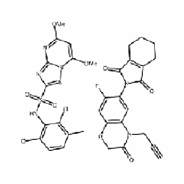 C#CCN1C(=O)COc2cc(F)c(N3C(=O)C4=C(CCCC4)C3=O)cc21.COc1cc(OC)n2nc(S(=O)(=O)Nc3c(Cl)ccc(C)c3Cl)nc2n1